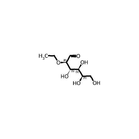 CCO[C@@H](C=O)[C@@H](O)[C@@H](O)[C@H](O)CO